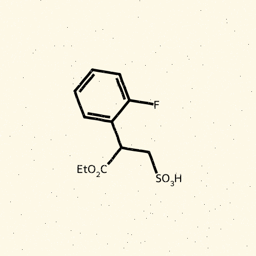 CCOC(=O)C(CS(=O)(=O)O)c1ccccc1F